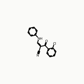 N#CC(=CNc1ccccc1)C(=O)c1ccccc1Cl